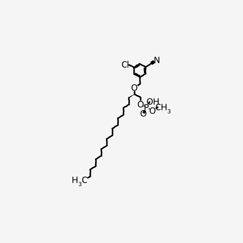 CCCCCCCCCCCCCCCCC[C@H](COP(=O)(O)OC)OCc1cc(Cl)cc(C#N)c1